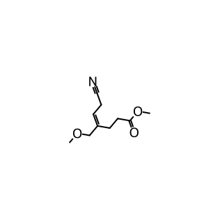 COCC(=CCC#N)CCC(=O)OC